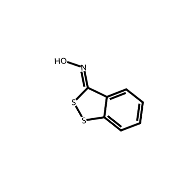 ON=c1ssc2ccccc12